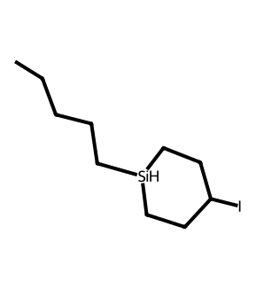 CCCCC[SiH]1CCC(I)CC1